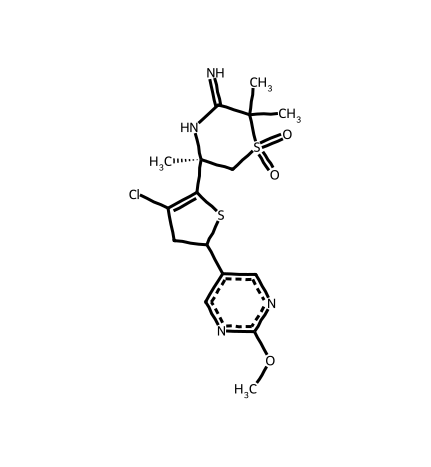 COc1ncc(C2CC(Cl)=C([C@]3(C)CS(=O)(=O)C(C)(C)C(=N)N3)S2)cn1